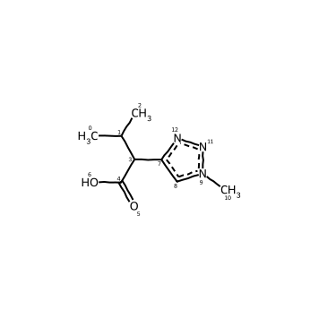 CC(C)C(C(=O)O)c1cn(C)nn1